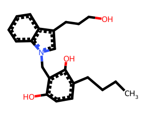 CCCCc1ccc(O)c(Cn2cc(CCCO)c3ccccc32)c1O